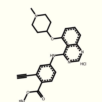 C#Cc1cc(Nc2ncnc3cccc(OC4CCN(C)CC4)c23)ccc1C(=O)OC(C)(C)C.Cl